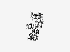 Cn1ccc(-c2cc(C(=O)Nc3cnc(C4CCCNC4=O)nc3-c3ccccc3)c(F)cc2C(F)(F)F)n1